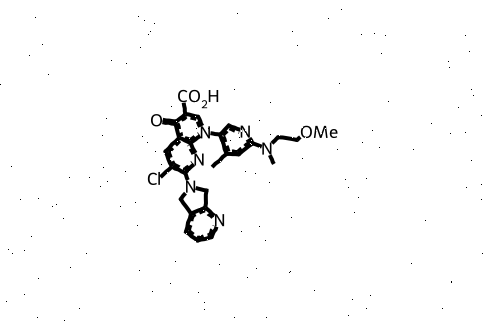 COCCN(C)c1cc(C)c(-n2cc(C(=O)O)c(=O)c3cc(Cl)c(N4Cc5cccnc5C4)nc32)cn1